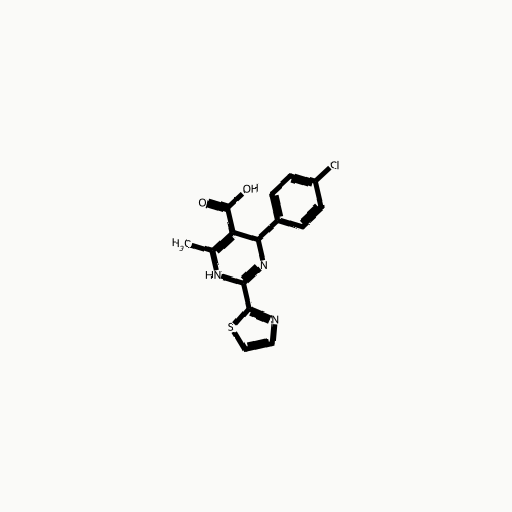 CC1=C(C(=O)O)C(c2ccc(Cl)cc2)N=C(c2nccs2)N1